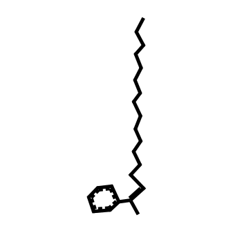 CCCCCCCCCCCCCC/C=C(/C)c1ccccc1